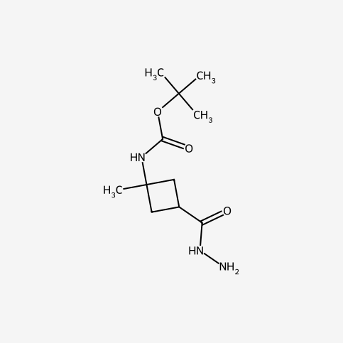 CC1(NC(=O)OC(C)(C)C)CC(C(=O)NN)C1